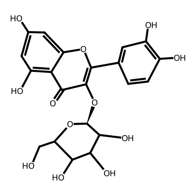 O=c1c(O[C@@H]2OC(CO)C(O)C(O)C2O)c(-c2ccc(O)c(O)c2)oc2cc(O)cc(O)c12